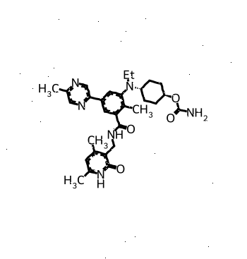 CCN(c1cc(-c2cnc(C)cn2)cc(C(=O)NCc2c(C)cc(C)[nH]c2=O)c1C)[C@H]1CC[C@H](OC(N)=O)CC1